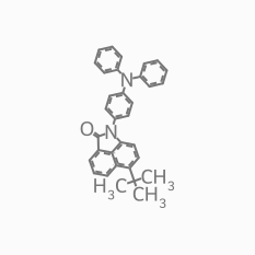 CC(C)(C)c1ccc2c3c(cccc13)C(=O)N2c1ccc(N(c2ccccc2)c2ccccc2)cc1